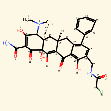 CN(C)[C@@H]1C(O)=C(C(N)=O)C(=O)[C@@]2(O)C(O)=C3C(=O)c4c(O)c(CNC(=O)CCl)cc(-c5ccccc5)c4C[C@H]3C[C@H]12